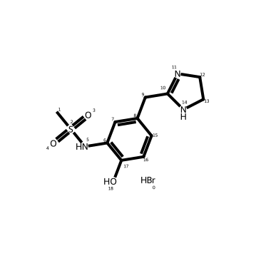 Br.CS(=O)(=O)Nc1cc(CC2=NCCN2)ccc1O